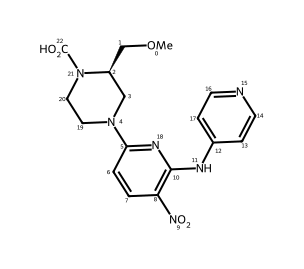 COC[C@H]1CN(c2ccc([N+](=O)[O-])c(Nc3ccncc3)n2)CCN1C(=O)O